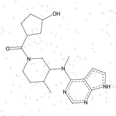 CC1CCN(C(=O)C2CCC(O)C2)CC1N(C)c1ncnc2[nH]ccc12